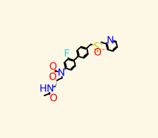 CC(=O)NC[C@H]1CN(c2ccc(-c3ccc(C[S+]([O-])Cc4ccccn4)cc3)c(F)c2)C(=O)O1